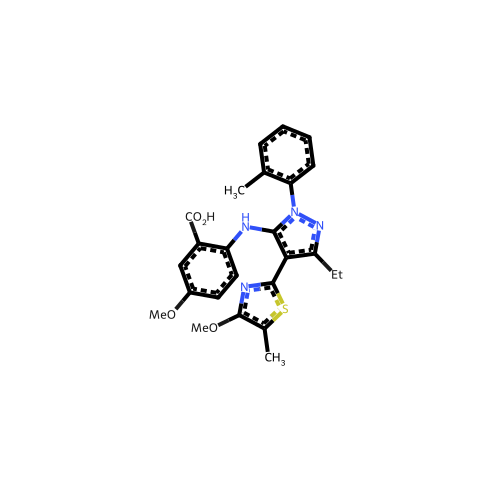 CCc1nn(-c2ccccc2C)c(Nc2ccc(OC)cc2C(=O)O)c1-c1nc(OC)c(C)s1